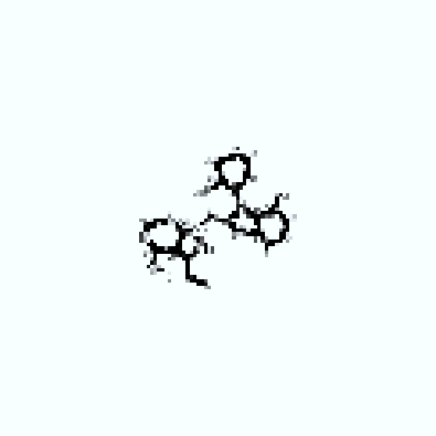 C=Cc1nn(Cc2cc3cccc(C)c3n2-c2ccccc2F)c2ncnc(N)c12